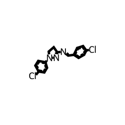 Clc1ccc(C=NC2=NN(c3ccc(Cl)cc3)CC2)cc1